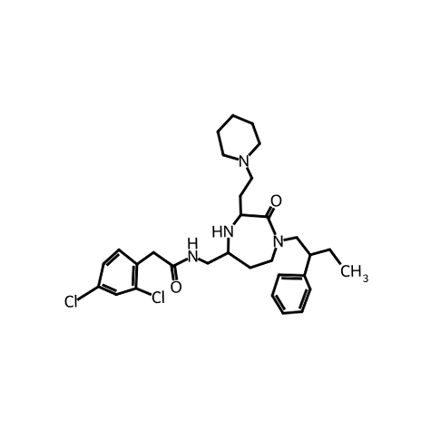 CCC(CN1CCC(CNC(=O)Cc2ccc(Cl)cc2Cl)NC(CCN2CCCCC2)C1=O)c1ccccc1